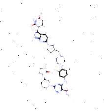 CN1CCN(C2CCCN(c3nnc(C(N)=O)c(Nc4ccc(N5CCN(CC6CCN(c7ccc8c(C9CCC(=O)NC9=O)nn(C)c8n7)C6)CC5)c(F)c4)n3)C2)C1=O